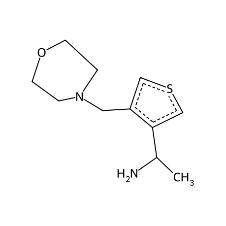 CC(N)c1cscc1CN1CCOCC1